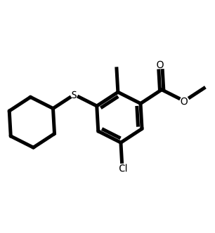 COC(=O)c1cc(Cl)cc(SC2CCCCC2)c1C